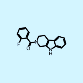 O=C(c1ccccc1F)N1CCc2c([nH]c3ccccc23)C1